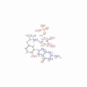 NC(Cc1ccc(O)cc1)C(=O)O.Nc1nc2c(ncn2[C@@H]2O[C@H](COP(=O)(O)O)[C@@H](O)[C@H]2O)c(=O)[nH]1